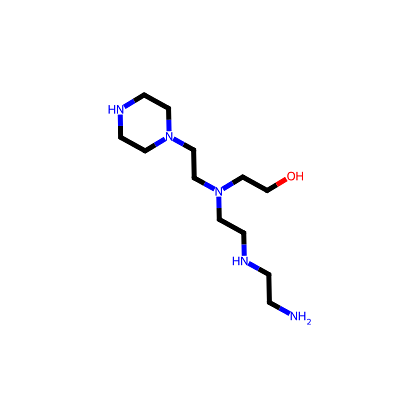 NCCNCCN(CCO)CCN1CCNCC1